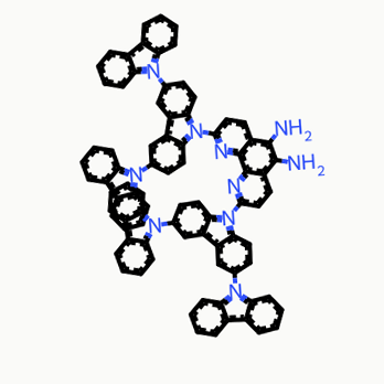 Nc1c(N)c2ccc(-n3c4ccc(-n5c6ccccc6c6ccccc65)cc4c4cc(-n5c6ccccc6c6ccccc65)ccc43)nc2c2nc(-n3c4ccc(-n5c6ccccc6c6ccccc65)cc4c4cc(-n5c6ccccc6c6ccccc65)ccc43)ccc12